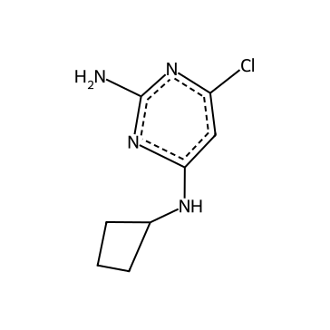 Nc1nc(Cl)cc(NC2CCC2)n1